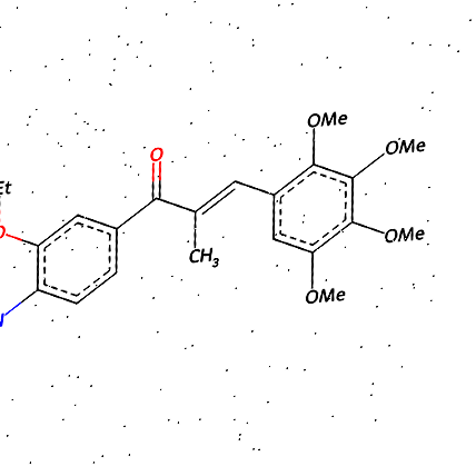 CCOc1cc(C(=O)/C(C)=C/c2cc(OC)c(OC)c(OC)c2OC)ccc1N